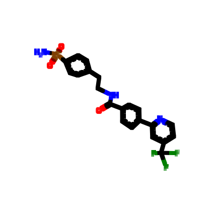 NS(=O)(=O)c1ccc(CCNC(=O)c2ccc(-c3cc(C(F)(F)F)ccn3)cc2)cc1